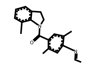 C/C=N/c1cc(C)c(C(=O)N2CCc3cccc(C)c32)cc1C